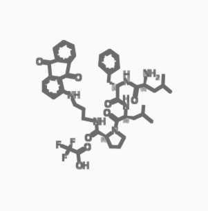 CC(C)C[C@H](NC(=O)[C@H](Cc1ccccc1)NC(=O)[C@@H](N)CC(C)C)C(=O)N1CCC[C@H]1C(=O)NCCCNc1cccc2c1C(=O)c1ccccc1C2=O.O=C(O)C(F)(F)F